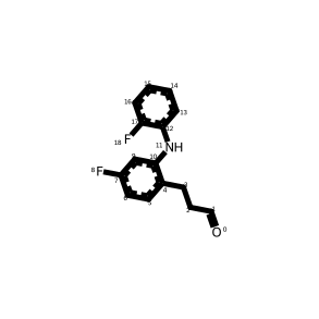 O=CCCc1ccc(F)cc1Nc1ccccc1F